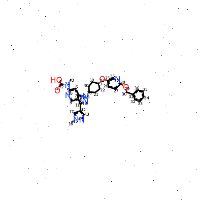 CN(C(=O)O)c1cc2c(cn1)c(-c1cnn(C)c1)nn2[C@H]1CC[C@@H](Oc2ccc(OCc3ccccc3)nc2)CC1